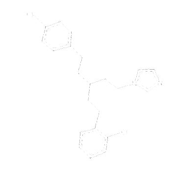 Clc1ccc(CCC(CCc2ccccc2Cl)CCn2ccnc2)cc1